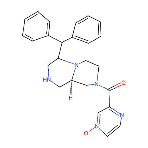 O=C(c1c[n+]([O-])ccn1)N1CCN2C(C(c3ccccc3)c3ccccc3)CNC[C@@H]2C1